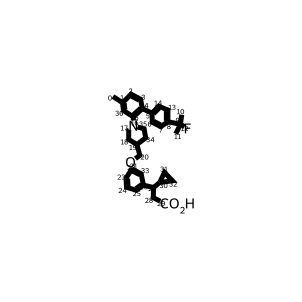 Cc1ccc(-c2ccc(C(C)(C)F)cc2)c(N2CCC(COc3cccc(C(CC(=O)O)C4CC4)c3)CC2)c1